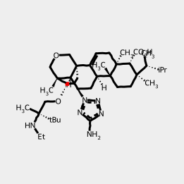 CCN[C@@](C)(CO[C@H]1[C@H](n2nnc(N)n2)C[C@@]23COC[C@]1(C)[C@@H]2CC[C@H]1C3=CC[C@@]2(C)[C@H](C(=O)O)[C@@](C)([C@H](C)C(C)C)CC[C@]12C)C(C)(C)C